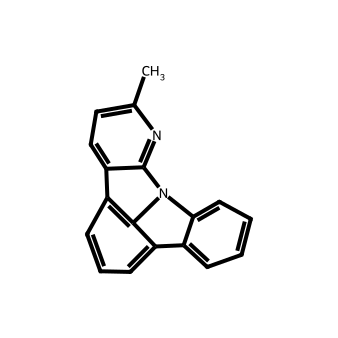 Cc1ccc2c3cccc4c5ccccc5n(c2n1)c43